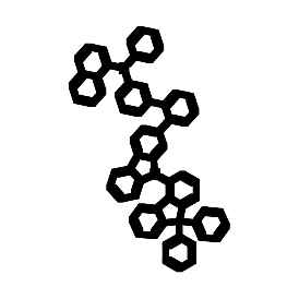 c1ccc(N(c2cccc(-c3ccccc3-c3ccc4c5ccccc5n(-c5cccc6c5-c5ccccc5C6(c5ccccc5)c5ccccc5)c4c3)c2)c2cccc3ccccc23)cc1